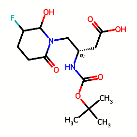 CC(C)(C)OC(=O)N[C@@H](CC(=O)O)CN1C(=O)CCC(F)C1O